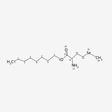 CCCCCCCCOC(=O)C(N)CC[Se]C